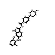 Cc1cccc(Cl)c1Nc1ccc2c(NC(=O)c3ccc(C4CCN(C)CC4)cc3)n[nH]c2c1